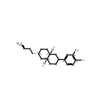 C=CCC[C@@H]1CC[C@@H]2CC(c3ccc(F)c(F)c3)CC[C@@H]2C1